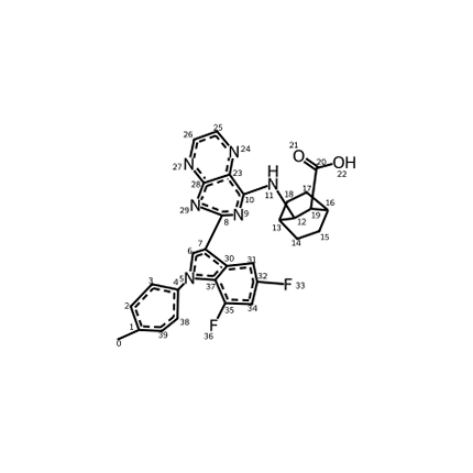 Cc1ccc(-n2cc(-c3nc(NC4C5CCC(CC5)C4C(=O)O)c4nccnc4n3)c3cc(F)cc(F)c32)cc1